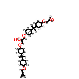 CC(C)(C1CCC(OCC(O)COC2CCC(C(C)(C)C3CCC(OCC4CO4)CC3)CC2)CC1)C1CCC(OCC2CC2)CC1